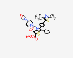 Cc1nc(C)c(-c2ccc(-c3c(C4CCCCC4)c4sc(C(=O)O)cc4n3CC(=O)N3CCC(N4CCOCC4)CC3)cc2)s1